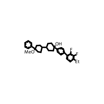 CCc1ccc(-c2ccc(C3(O)CCC(C4CCC(OC)(c5ccccc5)CC4)CC3)cc2)c(F)c1F